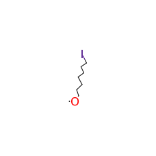 [O]CCCCCCCI